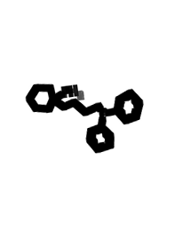 PC1(CCCCP(c2ccccc2)c2ccccc2)CCCCC1